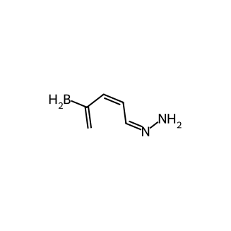 BC(=C)/C=C\C=N/N